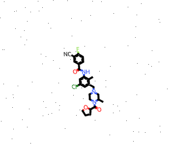 Cc1c(CN2CCN(C(=O)C3CCCO3)C(C)C2)cc(Cl)cc1NC(=O)c1ccc(F)c(C#N)c1